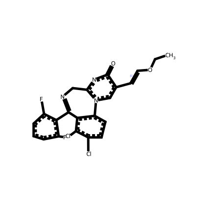 CCO/C=C/c1cn2c(nc1=O)CN=C(c1c(F)cccc1F)c1c-2ccc(Cl)c1Cl